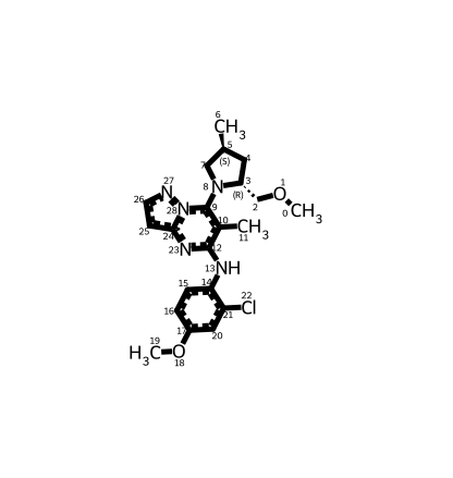 COC[C@H]1C[C@H](C)CN1c1c(C)c(Nc2ccc(OC)cc2Cl)nc2ccnn12